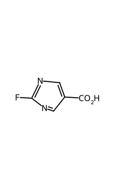 O=C(O)c1cnc(F)nc1